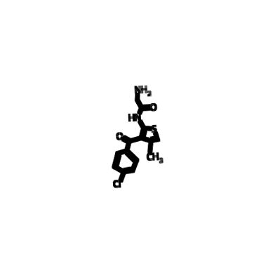 Cc1csc(NC(=O)CN)c1C(=O)c1ccc(Cl)cc1